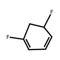 F[C]1C=C[C]=C(F)C1